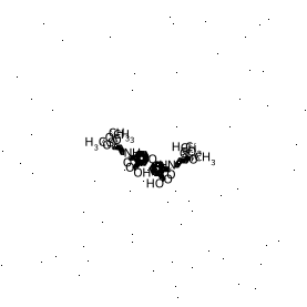 CO[Si](CCCNC(=O)c1ccc(Oc2ccc(C(=O)O)c(C(=O)NCCC[Si](OC)(OC)OC)c2)cc1C(=O)O)(OC)OC